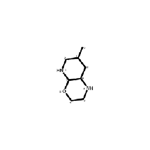 CC1CNC2OCCNC2C1